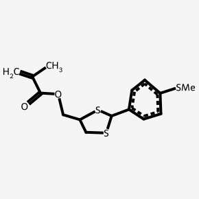 C=C(C)C(=O)OCC1CSC(c2ccc(SC)cc2)S1